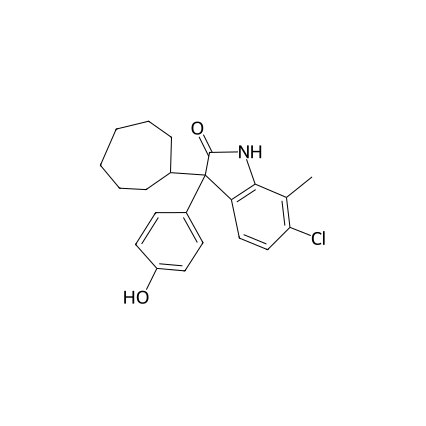 Cc1c(Cl)ccc2c1NC(=O)C2(c1ccc(O)cc1)C1CCCCCC1